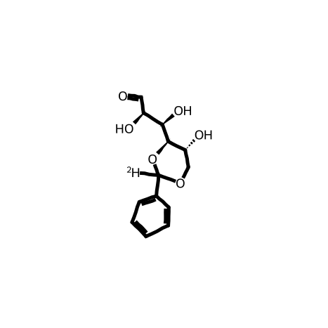 [2H]C1(c2ccccc2)OC[C@@H](O)[C@H]([C@H](O)[C@@H](O)C=O)O1